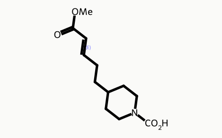 COC(=O)/C=C/CCC1CCN(C(=O)O)CC1